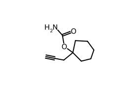 C#CCC1(OC(N)=O)CCCCC1